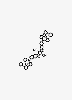 N#Cc1c2oc3cc4cc(N(c5ccccc5)c5cccc6c5oc5c(-c7ccccc7)cccc56)ccc4cc3c2c(C#N)c2c1oc1cc3cc(N(c4ccccc4)c4cccc5c4oc4c(-c6ccccc6)cccc45)ccc3cc12